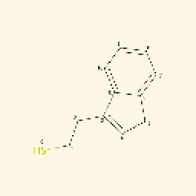 SCCC1=CCc2ccccc21